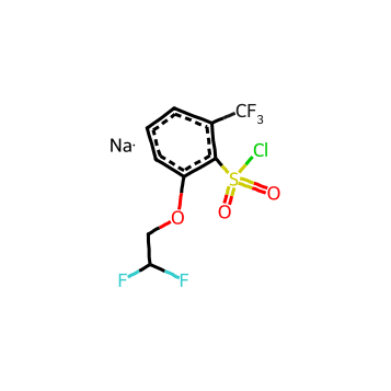 O=S(=O)(Cl)c1c(OCC(F)F)cccc1C(F)(F)F.[Na]